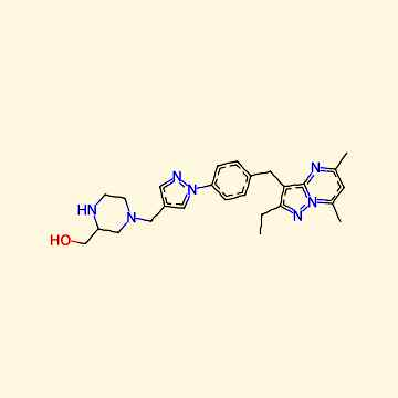 CCc1nn2c(C)cc(C)nc2c1Cc1ccc(-n2cc(CN3CCNC(CO)C3)cn2)cc1